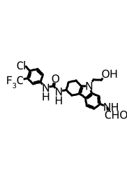 O=CNc1ccc2c3c(n(CCO)c2c1)CCC(NC(=O)Nc1ccc(Cl)c(C(F)(F)F)c1)C3